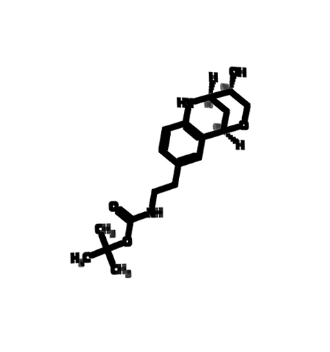 CC(C)(C)OC(=O)NCCc1ccc2c(c1)[C@H]1C[C@@H](N2)[C@H](O)CO1